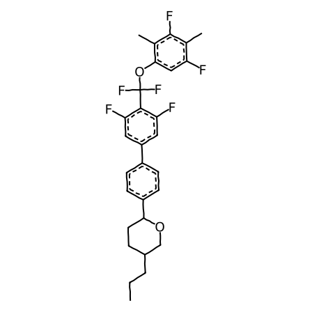 CCCC1CCC(c2ccc(-c3cc(F)c(C(F)(F)Oc4cc(F)c(C)c(F)c4C)c(F)c3)cc2)OC1